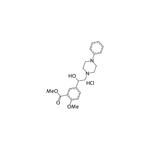 COC(=O)c1cc(C(O)CN2CCN(c3ccccc3)CC2)ccc1OC.Cl